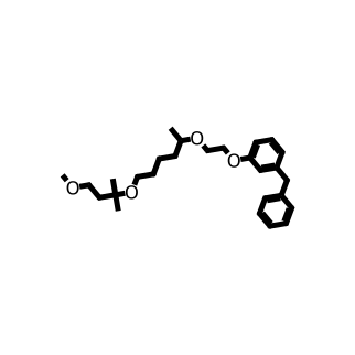 COCCC(C)(C)OCCCCC(C)OCCOc1cccc(Cc2ccccc2)c1